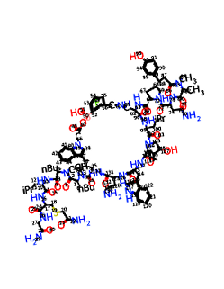 CCCC[C@@H](C(=O)N(C)[C@@H](CCCC)C(=O)N[C@@H](CC(C)C)C(=O)N[C@@H](CSCC(N)=O)C(=O)NCC(N)=O)N(C)C(=O)[C@@H]1Cc2cn(c3ccccc23)CC(=O)OB(O)c2cccc(c2F)CNC[C@H](NC(=O)[C@@H]2CCCN2C(=O)[C@H](CC(N)=O)NC(=O)[C@H](C)N(C)C(=O)CCc2ccc(O)cc2)C(=O)N[C@@H](CC(C)C)C(=O)N2C[C@H](O)C[C@H]2C(=O)N[C@@H](Cc2c[nH]c3ccccc23)C(=O)N[C@@H](CCN)C(=O)N1